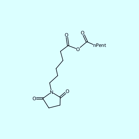 CCCCCC(=O)OC(=O)CCCCCN1C(=O)CCC1=O